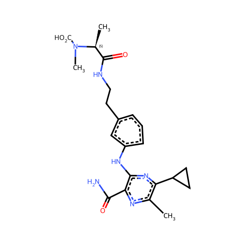 Cc1nc(C(N)=O)c(Nc2cccc(CCNC(=O)[C@H](C)N(C)C(=O)O)c2)nc1C1CC1